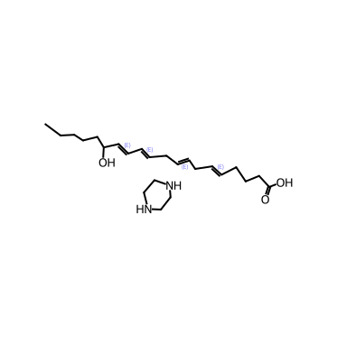 C1CNCCN1.CCCCCC(O)/C=C/C=C/C/C=C/C/C=C/CCCC(=O)O